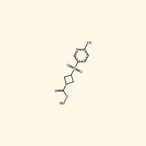 CC(C)(C)OC(=O)N1CC(S(=O)(=O)c2ccc(C#N)nc2)C1